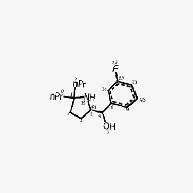 CCCC1(CCC)CC[C@H](C(O)c2cccc(F)c2)N1